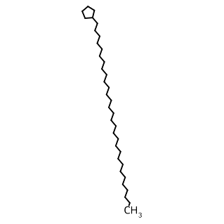 CCCCCCCCCCCCCCCCCCCCCCCCCCCCCCC1CCCC1